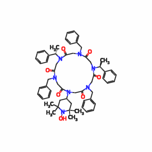 C[C@@H](c1ccccc1)N1CC(=O)N(Cc2ccccc2)CC(=O)N([C@@H](C)c2ccccc2)CC(=O)N(Cc2ccccc2)CC(=O)N(C2CC(C)(C)N(O)C(C)(C)C2)CC(=O)N(Cc2ccccc2)CC1=O